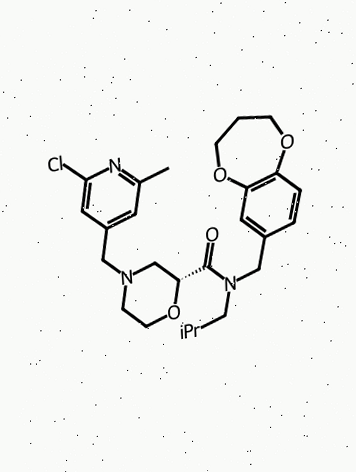 Cc1cc(CN2CCO[C@@H](C(=O)N(Cc3ccc4c(c3)OCCCO4)CC(C)C)C2)cc(Cl)n1